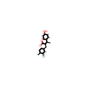 Cc1ccc(Cc2c(C)c3ccc(O)cc3oc2=O)cc1Cl